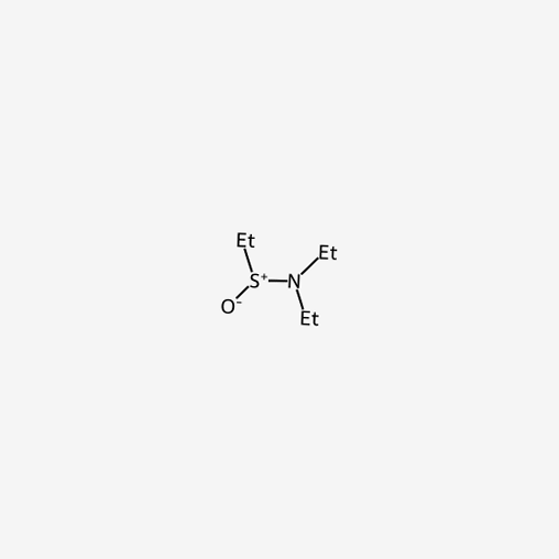 CCN(CC)[S+]([O-])CC